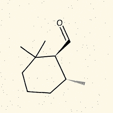 C[C@@H]1CCCC(C)(C)[C@H]1C=O